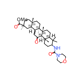 COC(=O)[C@@]1(C)CC[C@]2(C)CC[C@]3(C)C(=CC(=O)[C@@H]4[C@@]5(C)CCC(NC(=O)N6CCOCC6)C(C)(C)[C@@H]5CC[C@]43C)[C@H]2C1